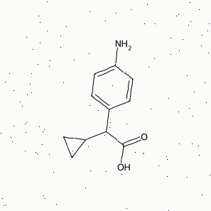 Nc1ccc(C(C(=O)O)C2CC2)cc1